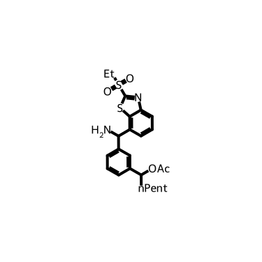 CCCCCC(OC(C)=O)c1cccc(C(N)c2cccc3nc(S(=O)(=O)CC)sc23)c1